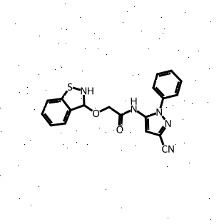 N#Cc1cc(NC(=O)COC2NSc3ccccc32)n(-c2ccccc2)n1